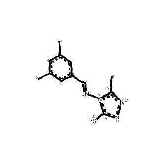 Cc1cc(C)cc(C=Nn2c(C)nnc2S)c1